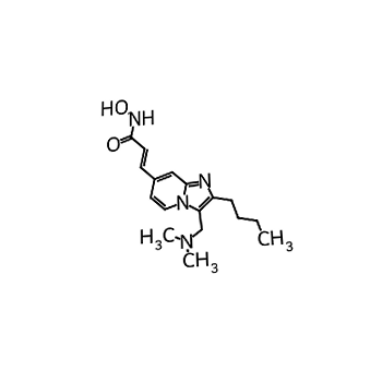 CCCCc1nc2cc(C=CC(=O)NO)ccn2c1CN(C)C